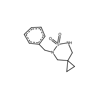 O=S1(=O)NCC2(CC2)CN1Cc1ccccc1